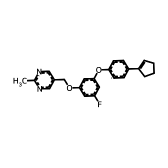 Cc1ncc(COc2cc(F)cc(Oc3[c]cc(C4=CCCC4)cc3)c2)cn1